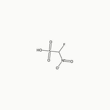 O=[N+]([O-])C(F)S(=O)(=O)O